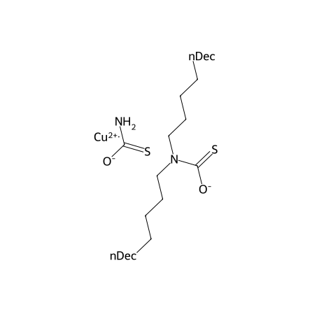 CCCCCCCCCCCCCCN(CCCCCCCCCCCCCC)C([O-])=S.NC([O-])=S.[Cu+2]